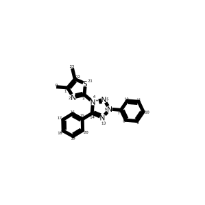 Cc1nc(-[n+]2nn(-c3ccccc3)nc2-c2ccccc2)sc1C